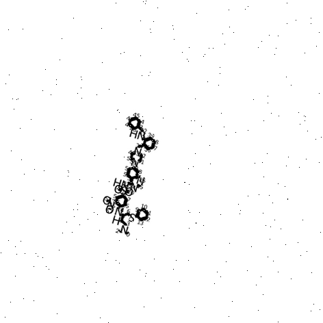 CN(C)CCC(CSc1ccccc1)Nc1ccc(S(=O)(=O)Nc2ncnc3cc(N4CCN(Cc5ccccc5NCc5ccccc5)CC4)ccc23)cc1[N+](=O)[O-]